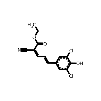 CCOC(=O)C(C#N)=CC=Cc1cc(Cl)c(O)c(Cl)c1